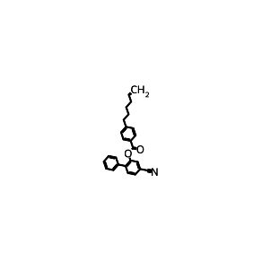 C=CCCCCc1ccc(C(=O)Oc2cc(C#N)ccc2-c2ccccc2)cc1